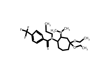 CCCN(C(=S)c1ccc(C(F)(F)F)cc1)C1CCCC(OCC)(OCC)CC1N(C)C